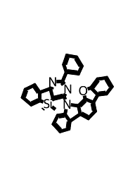 C[Si]1(C)c2ccccc2-c2nc(-c3ccccc3)nc(-n3c4ccccc4c4ccc5c6ccccc6oc5c43)c21